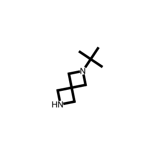 CC(C)(C)N1CC2(CNC2)C1